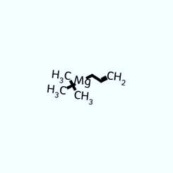 C=C[CH2][Mg][C](C)(C)C